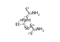 CCCCC[CH]([Sb+2])CC.NC(=S)[S-].NC(=S)[S-]